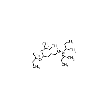 CCC(C)OC(CCCO[SiH](C(C)CC)C(C)CC)OC(C)CC